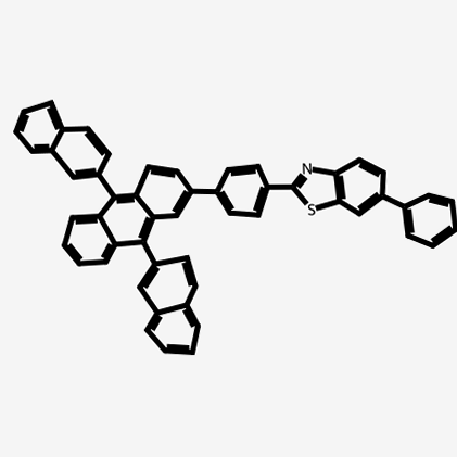 c1ccc(-c2ccc3nc(-c4ccc(-c5ccc6c(-c7ccc8ccccc8c7)c7ccccc7c(-c7ccc8ccccc8c7)c6c5)cc4)sc3c2)cc1